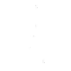 CCOC[C@H](Oc1ccc(C#N)cc1Cl)C1CCNC1